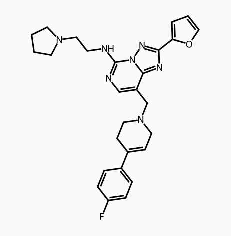 Fc1ccc(C2=CCN(Cc3cnc(NCCN4CCCC4)n4nc(-c5ccco5)nc34)CC2)cc1